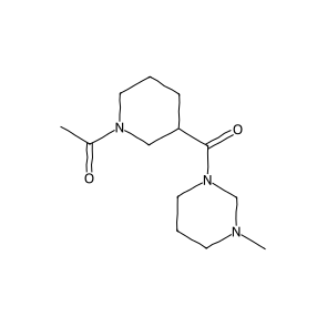 CC(=O)N1CCCC(C(=O)N2CCCN(C)C2)C1